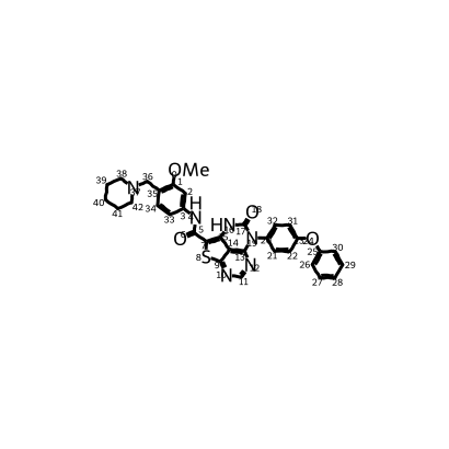 COc1cc(NC(=O)c2sc3ncnc4c3c2NC(=O)N4c2ccc(Oc3ccccc3)cc2)ccc1CN1CCCCC1